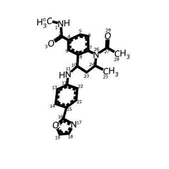 CNC(=O)c1ccc2c(c1)C(Nc1ccc(-c3ncco3)cc1)CC(C)N2C(C)=O